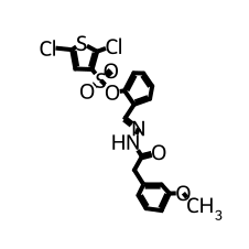 COc1cccc(CC(=O)N/N=C/c2ccccc2OS(=O)(=O)c2cc(Cl)sc2Cl)c1